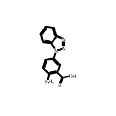 Nc1ccc(-n2nnc3ccccc32)cc1C(=O)O